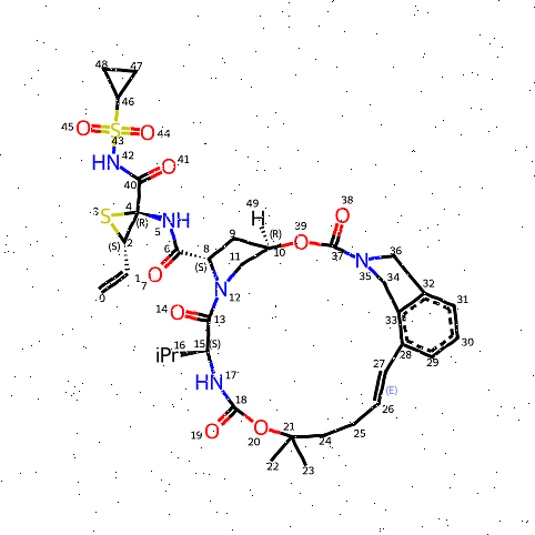 C=C[C@@H]1S[C@]1(NC(=O)[C@@H]1C[C@@H]2CN1C(=O)[C@H](C(C)C)NC(=O)OC(C)(C)CC/C=C/c1cccc3c1CN(C3)C(=O)O2)C(=O)NS(=O)(=O)C1CC1